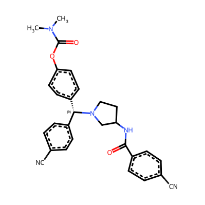 CN(C)C(=O)Oc1ccc([C@@H](c2ccc(C#N)cc2)N2CCC(NC(=O)c3ccc(C#N)cc3)C2)cc1